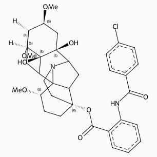 CO[C@H]1C[C@]2(O)C3CC4C5(C6C[C@H]1[C@H](OC)[C@@]62O)[C@@H](OC)CC[C@@]4(OC(=O)c1ccccc1NC(=O)c1ccc(Cl)cc1)CCN35